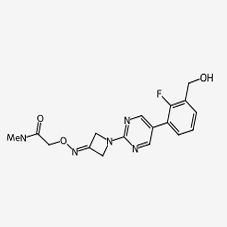 CNC(=O)CON=C1CN(c2ncc(-c3cccc(CO)c3F)cn2)C1